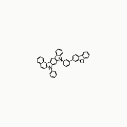 c1ccc(-n2c3cc4c(cc3c3c5ccccc5ccc32)c2ccccc2n4-c2cccc(-c3ccc4c(c3)oc3ccccc34)c2)cc1